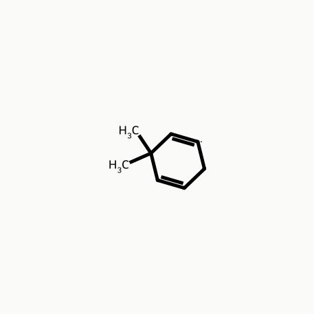 CC1(C)C=[C]CC=C1